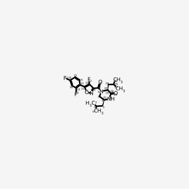 CC(C)C[C@H]1CN(C(=O)c2noc(-c3ccc(F)cc3F)c2F)[C@@H](CC(C)C)C(=O)N1